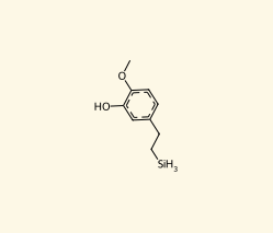 COc1ccc(CC[SiH3])cc1O